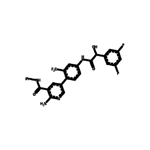 CC(C)NC(=O)c1cc(-c2ccc(NC(=O)C(O)c3cc(F)cc(F)c3)cc2C(F)(F)F)cnc1N